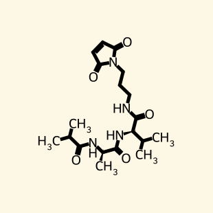 CC(C)C(=O)N[C@H](C)C(=O)N[C@@H](C(=O)NCCCN1C(=O)C=CC1=O)C(C)C